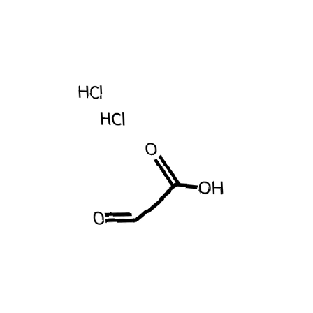 Cl.Cl.O=CC(=O)O